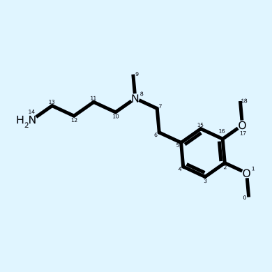 COc1ccc(CCN(C)CCCCN)cc1OC